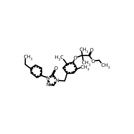 CCOC(=O)C(C)(C)Oc1c(C)cc(Cn2cnn(-c3ccc(CC)cc3)c2=O)cc1C